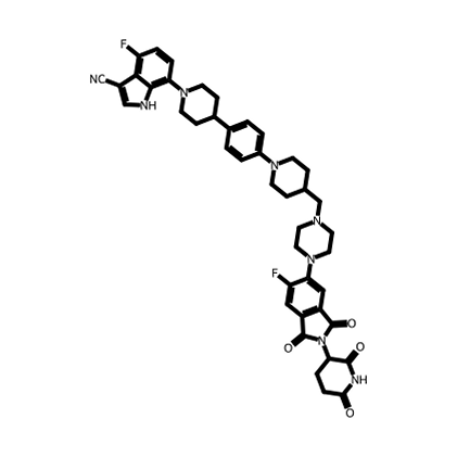 N#Cc1c[nH]c2c(N3CCC(c4ccc(N5CCC(CN6CCN(c7cc8c(cc7F)C(=O)N(C7CCC(=O)NC7=O)C8=O)CC6)CC5)cc4)CC3)ccc(F)c12